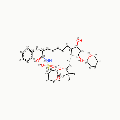 CCCCC(C)(C)[C@@H](/C=C/[C@@H]1[C@@H](CCCCCC([Se]c2ccccc2)C(=O)NS(C)(=O)=O)[C@@H](O)C[C@H]1OC1CCCCO1)OC1CCCCO1